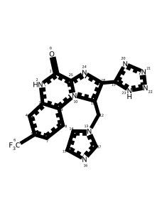 O=c1[nH]c2cc(C(F)(F)F)ccc2n2c(Cn3ccnc3)c(-c3nnn[nH]3)nc12